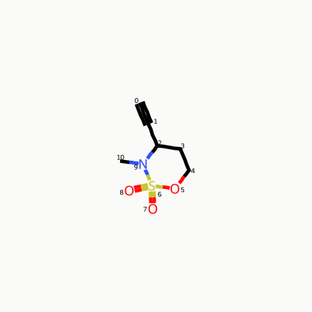 C#CC1CCOS(=O)(=O)N1C